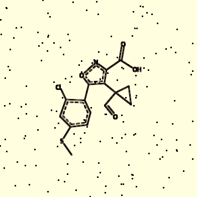 CSc1ccc(-c2onc(C(=O)O)c2C2(C=O)CC2)c(Cl)c1